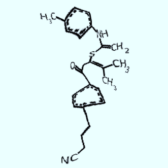 C=C(Nc1ccc(C)cc1)SC(C(=O)c1ccc(CCCC#N)cc1)=C(C)C